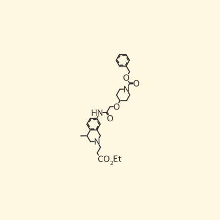 CCOC(=O)CCN1Cc2cc(NC(=O)COC3CCN(C(=O)OCc4ccccc4)CC3)ccc2C(C)C1